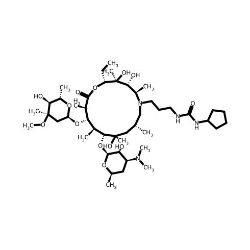 CC[C@H]1OC(=O)[C@H](C)[C@@H](O[C@H]2C[C@@](C)(OC)[C@@H](O)[C@H](C)O2)[C@H](C)[C@@H](O[C@@H]2O[C@H](C)C[C@H](N(C)C)[C@H]2O)[C@](C)(O)C[C@@H](C)CN(CCCNC(=O)NC2CCCC2)[C@H](C)[C@@H](O)[C@]1(C)O